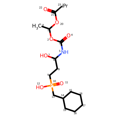 CC(OC(=O)NC(O)CCP(=O)(O)CC1CCCCC1)OC(=O)C(C)C